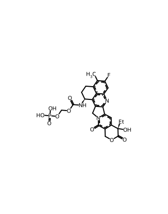 CC[C@@]1(O)C(=O)OCc2c1cc1n(c2=O)Cc2c-1nc1cc(F)c(C)c3c1c2[C@@H](NC(=O)OCOP(=O)(O)O)CC3